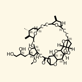 C=C1C[C@@H]2CC[C@@]34C[C@@H]5O[C@@H]6C(O[C@H]7CCC(CC(=O)C[C@@H]8[C@@H](OC)[C@@H](C[C@H](O)CO)O[C@H]8CC8O[C@@H](CCC1O2)C[C@@H](C)C8=C)OC7[C@@H]6O3)[C@@H]5O4